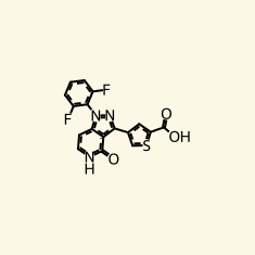 O=C(O)c1cc(-c2nn(-c3c(F)cccc3F)c3cc[nH]c(=O)c23)cs1